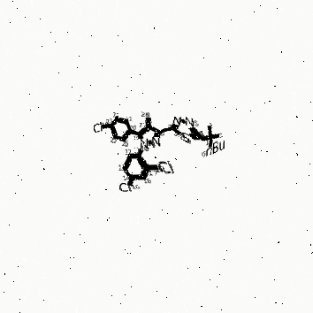 CCCCC(C)(C)c1nnc(-c2nn(-c3ccc(Cl)cc3Cl)c(-c3ccc(Cl)cc3)c2C)s1